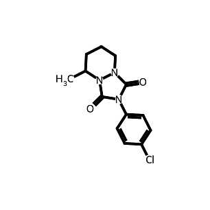 CC1CCCn2c(=O)n(-c3ccc(Cl)cc3)c(=O)n21